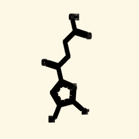 O=C(O)CCC(=O)c1cc(Br)c(Br)s1